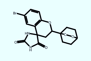 O=C1NC(=O)C2(CC(C34CCC(CC3)OC4)Oc3ccc(Br)cc32)N1